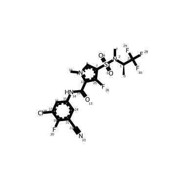 C[C@@H](N(C)S(=O)(=O)c1cn(C)c(C(=O)Nc2cc(Cl)c(F)c(C#N)c2)c1F)C(F)(F)F